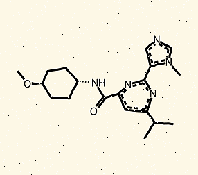 CO[C@H]1CC[C@H](NC(=O)c2cc(C(C)C)nc(-c3cncn3C)n2)CC1